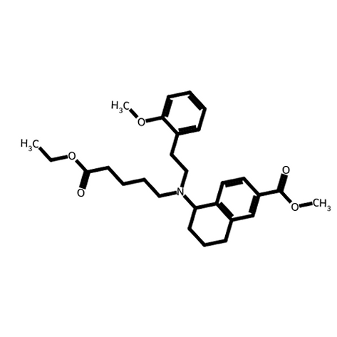 CCOC(=O)CCCCN(CCc1ccccc1OC)C1CCCc2cc(C(=O)OC)ccc21